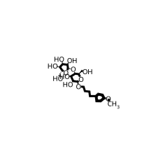 COc1ccc(CCCCO[C@@H]2O[C@H](CO)[C@@H](O[C@@H]3O[C@H](CO)[C@H](O)[C@H](O)[C@H]3O)[C@H](O)[C@H]2O)cc1